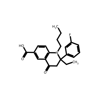 CCCCN1c2ccc(C(=O)O)cc2C(=O)CC1(CC)c1cccc(F)c1